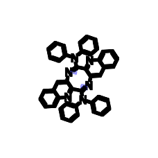 c1ccc(N(/C2=N/c3cc4ccccc4nc3/C(N(c3ccccc3)c3ccccc3)=N\c3cc4ccccc4nc32)c2ccccc2)cc1